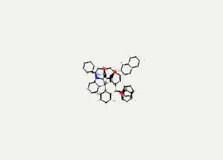 c1ccc(N(c2ccc(-c3ccc4ccccc4c3)cc2)c2ccccc2C2(c3ccccc3)c3ccccc3C3(c4ccccc4)c4ccccc4-c4cccc2c43)cc1